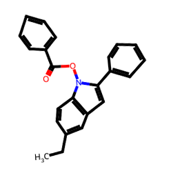 CCc1ccc2c(c1)cc(-c1ccccc1)n2OC(=O)c1ccccc1